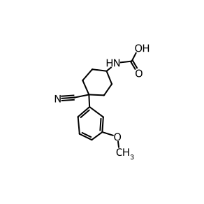 COc1cccc(C2(C#N)CCC(NC(=O)O)CC2)c1